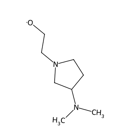 CN(C)C1CCN(CC[O])C1